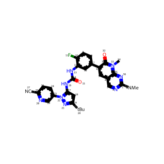 CNc1ncc2cc(-c3ccc(F)c(NC(=O)Nc4cc(C(C)(C)C)nn4-c4ccc(C#N)nc4)c3)c(=O)n(C)c2n1